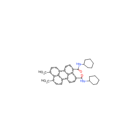 O=C(O)c1ccc2c3ccc(C(=O)NC4CCCCC4)c4c(C(=O)NC5CCCCC5)ccc(c5ccc(C(=O)O)c1c25)c43